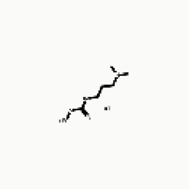 CCCSC(=O)NCCCN(C)C.Cl